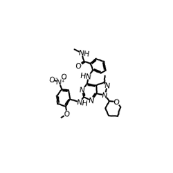 CNC(=O)c1ccccc1Nc1nc(Nc2cc([N+](=O)[O-])ccc2OC)nc2c1c(C)nn2C1CCCCO1